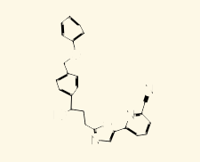 N#Cc1cccc(-c2cnc(CCC(O)c3ccc(COc4ccccc4)cc3)o2)n1